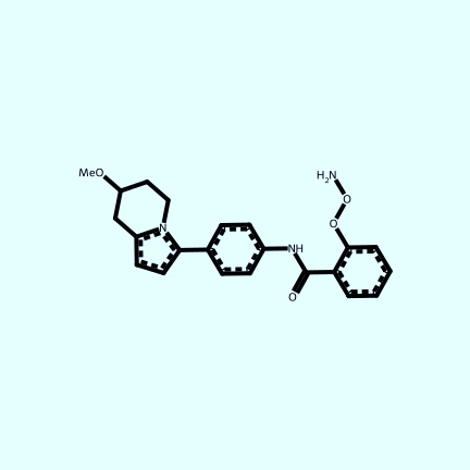 COC1CCn2c(ccc2-c2ccc(NC(=O)c3ccccc3OON)cc2)C1